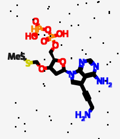 CSSCOC1C[C@H](n2cc(C#CCN)c3c(N)ncnc32)O[C@@H]1COP(=O)(O)O[PH](=O)O